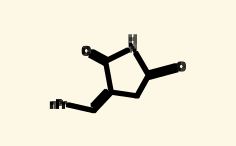 CCCC=C1CC(=O)NC1=O